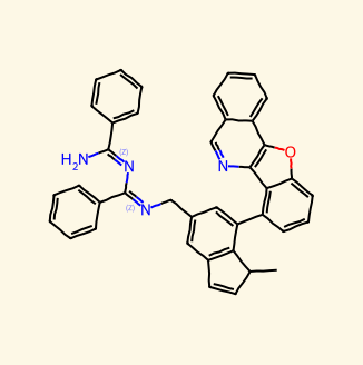 CC1C=Cc2cc(C/N=C(\N=C(/N)c3ccccc3)c3ccccc3)cc(-c3cccc4oc5c6ccccc6cnc5c34)c21